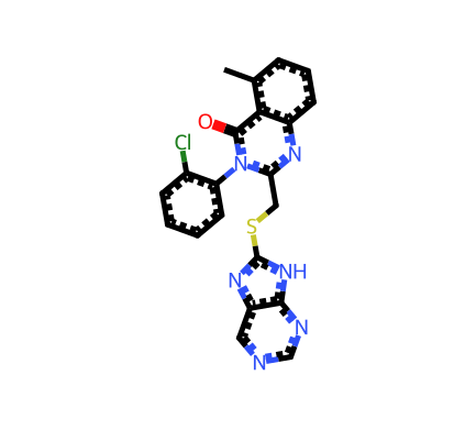 Cc1cccc2nc(CSc3nc4cncnc4[nH]3)n(-c3ccccc3Cl)c(=O)c12